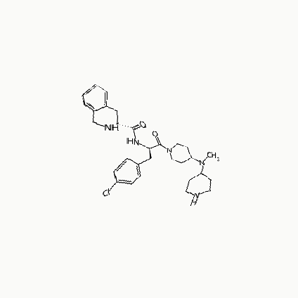 CN(C1CCNCC1)C1CCN(C(=O)[C@@H](Cc2ccc(Cl)cc2)NC(=O)[C@H]2Cc3ccccc3CN2)CC1